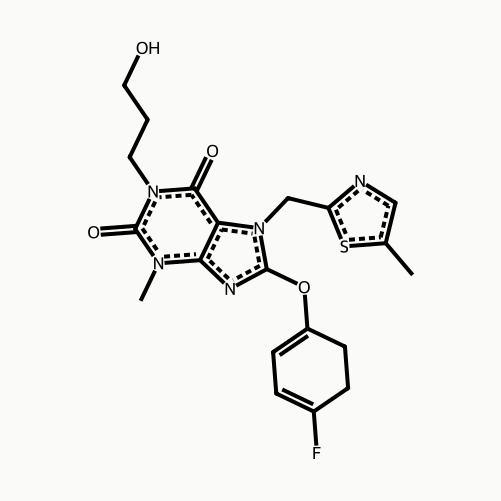 Cc1cnc(Cn2c(OC3=CC=C(F)CC3)nc3c2c(=O)n(CCCO)c(=O)n3C)s1